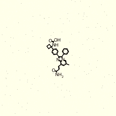 Cc1cc(C=CC(N)=O)c2nc(-c3ccc(C4(NC(=O)O)CCC4)cc3)c(-c3ccccc3)n2c1